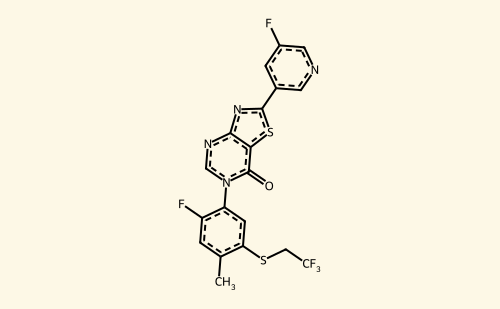 Cc1cc(F)c(-n2cnc3nc(-c4cncc(F)c4)sc3c2=O)cc1SCC(F)(F)F